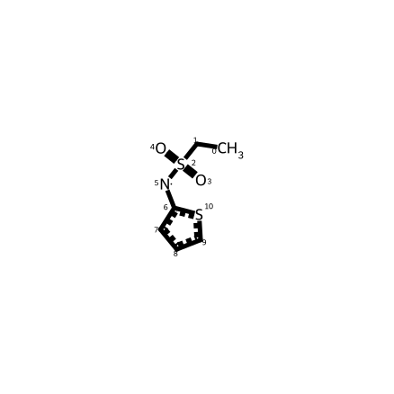 CCS(=O)(=O)[N]c1cccs1